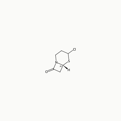 O=C1C[C@H]2SC(Cl)CCN12